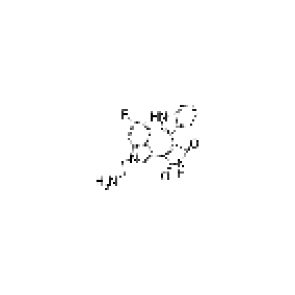 NCCn1cc(C2=C(c3c[nH]c4ccccc34)C(=O)NC2=O)c2ccc(F)cc21